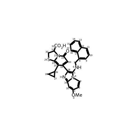 COc1ccn2c(NCc3cccc4ccccc34)c(-c3cc(=O)n4c(c3C3CC3)SCC4C(=O)O)nc2c1